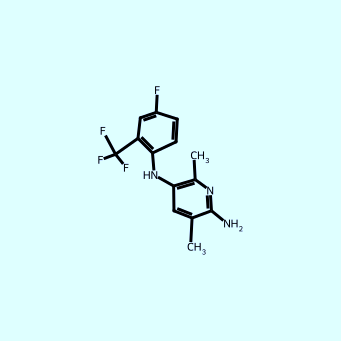 Cc1cc(Nc2ccc(F)cc2C(F)(F)F)c(C)nc1N